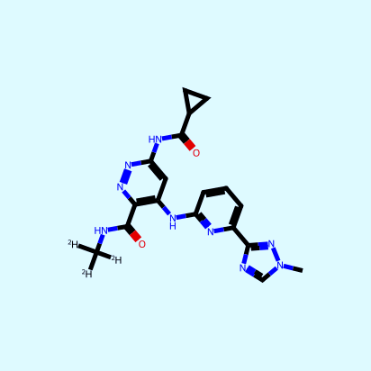 [2H]C([2H])([2H])NC(=O)c1nnc(NC(=O)C2CC2)cc1Nc1cccc(-c2ncn(C)n2)n1